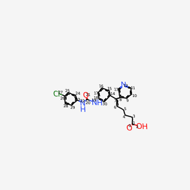 O=C(O)CCC/C=C(\c1cccnc1)c1cccc(NC(=O)Nc2ccc(Cl)cc2)c1